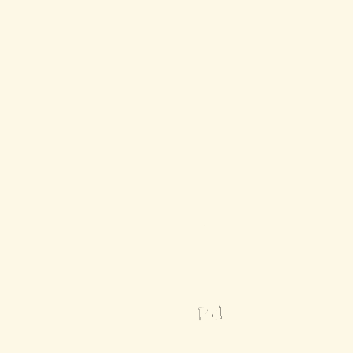 [Pd][CH]=CCc1ccccc1